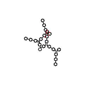 c1ccc(-c2ccc(-c3ccc(N(c4ccccc4)c4ccc(-c5ccc(N(c6ccc(-c7ccc(-c8ccccc8)cc7)cc6)c6ccc(C7(c8ccc(N(c9ccc(-c%10ccc(-c%11ccccc%11)cc%10)cc9)c9ccc(-c%10ccc(N(c%11ccccc%11)c%11ccc(-c%12ccc(-c%13ccccc%13)cc%12)cc%11)cc%10)cc9)cc8)CCCCC7)cc6)cc5)cc4)cc3)cc2)cc1